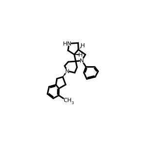 Cc1cccc2c1C[C@H](N1CCC3(CC1)[C@@H]1CNC[C@H]1CN3c1ccccc1)C2